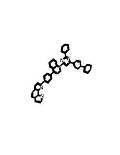 C1=CC2C=Cc3ccc(-c4ccc(-c5ccc(-c6cc(C7=CCC(c8ccccc8)C=C7)nc(-c7ccccc7)n6)c6ccccc56)cc4)nc3C2N=C1